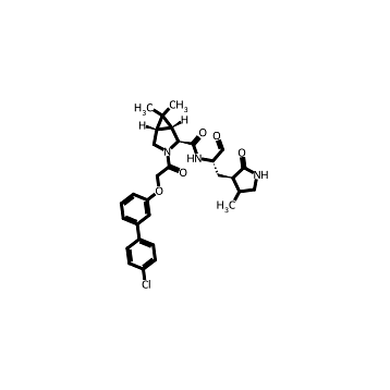 CC1CNC(=O)[C@@H]1C[C@@H](C=O)NC(=O)[C@@H]1[C@@H]2[C@H](CN1C(=O)COc1cccc(-c3ccc(Cl)cc3)c1)C2(C)C